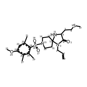 C=CCN1C(=O)C(CCSC)NC12CCN(S(=O)(=O)c1c(C)cc(OC)c(C)c1C)CC2